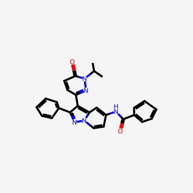 CC(C)n1nc(-c2c(-c3ccccc3)nn3ccc(NC(=O)c4ccccc4)cc23)ccc1=O